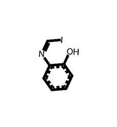 Oc1ccccc1/N=C\I